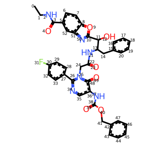 CCNC(=O)c1ccc2oc(C(O)C(Cc3ccccc3)NC(=O)Cn3c(-c4ccc(F)cc4)ncc(NC(=O)OCc4ccccc4)c3=O)nc2c1